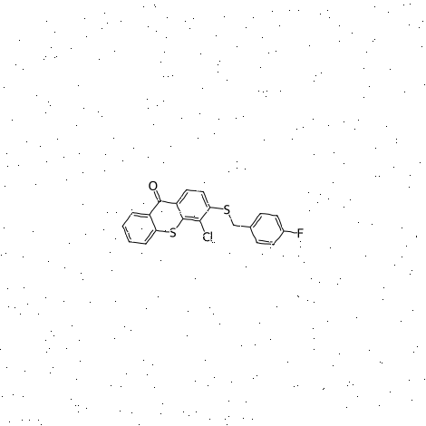 O=c1c2ccccc2sc2c(Cl)c(SCc3ccc(F)cc3)ccc12